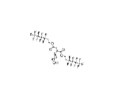 O=C(CC(SOOO)C(=O)OCCC(F)(F)C(F)(F)C(F)(F)C(F)(F)F)OCCC(F)(F)C(F)(F)C(F)(F)C(F)(F)F